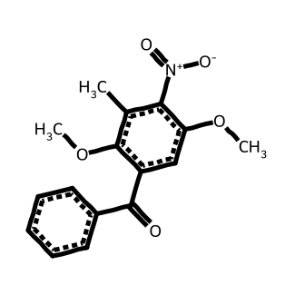 COc1cc(C(=O)c2ccccc2)c(OC)c(C)c1[N+](=O)[O-]